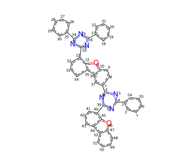 c1ccc(-c2nc(-c3ccc4oc5c(-c6nc(-c7ccccc7)nc(-c7ccccc7)n6)cccc5c4c3)nc(-c3cccc4c3oc3ccccc34)n2)cc1